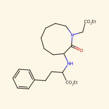 CCOC(=O)CN1CCCCCCC(NC(CCc2ccccc2)C(=O)OCC)C1=O